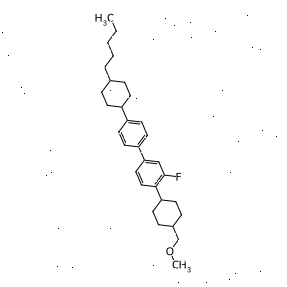 CCCCCC1CCC(c2ccc(-c3ccc(C4CCC(COC)CC4)c(F)c3)cc2)CC1